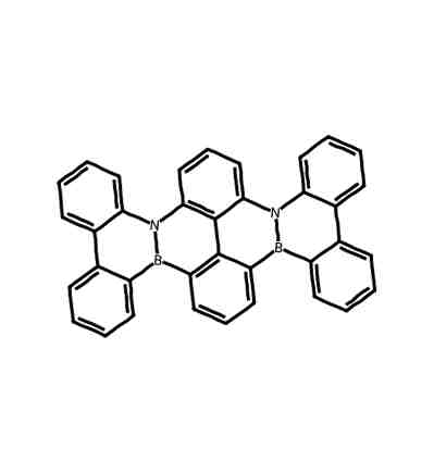 c1ccc2c(c1)B1c3cccc4c3-c3c(cccc3N3B4c4ccccc4-c4ccccc43)N1c1ccccc1-2